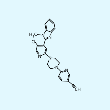 C#Cc1ccc(N2CCN(c3cc(-c4nc5ccccc5n4C)c(Cl)cn3)CC2)nc1